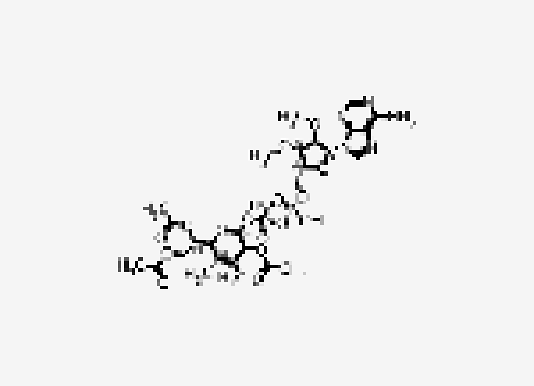 COC1[C@@H](OC)[C@@H](COP(=O)(O)OP(=O)(O)O[C@@H]2OC([C@@H](COC(C)=O)OC(C)=O)[C@@H](C)[C@H](C)C2OC(C)=O)O[C@H]1n1cnc2c(N)ncnc21